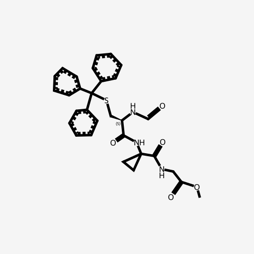 COC(=O)CNC(=O)C1(NC(=O)[C@@H](CSC(c2ccccc2)(c2ccccc2)c2ccccc2)NC=O)CC1